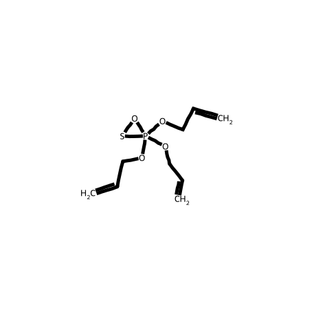 C=CCOP1(OCC=C)(OCC=C)OS1